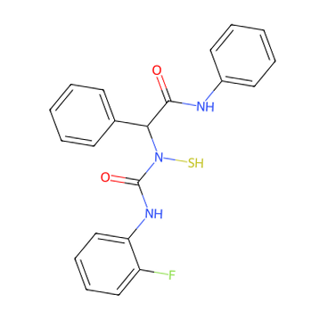 O=C(Nc1ccccc1)C(c1ccccc1)N(S)C(=O)Nc1ccccc1F